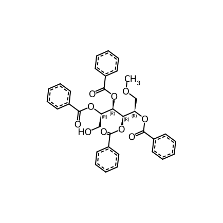 COC[C@@H](OC(=O)c1ccccc1)[C@@H](OC(=O)c1ccccc1)[C@H](OC(=O)c1ccccc1)[C@@H](CO)OC(=O)c1ccccc1